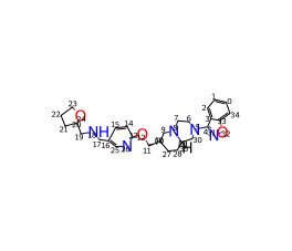 c1ccc2c(N3CCN4C[C@H](COc5ccc(CNCC6CCCO6)cn5)CC[C@H]4C3)noc2c1